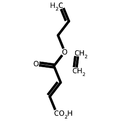 C=C.C=CCOC(=O)/C=C/C(=O)O